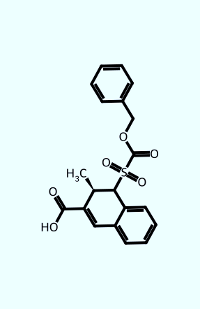 C[C@@H]1C(C(=O)O)=Cc2ccccc2C1S(=O)(=O)C(=O)OCc1ccccc1